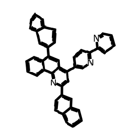 c1ccc(-c2ccc(-c3cc(-c4ccc5ccccc5c4)nc4c3cc(-c3ccc5ccccc5c3)c3ccccc34)cn2)nc1